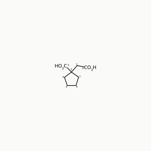 O=C(O)CC1(C(=O)O)CCCC1